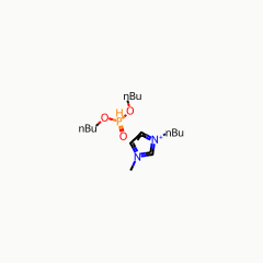 CCCCO[PH](=O)OCCCC.CCCC[n+]1ccn(C)c1